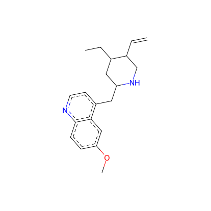 C=CC1CNC(Cc2ccnc3ccc(OC)cc23)CC1CC